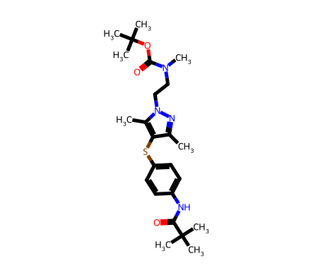 Cc1nn(CCN(C)C(=O)OC(C)(C)C)c(C)c1Sc1ccc(NC(=O)C(C)(C)C)cc1